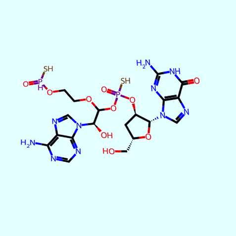 Nc1nc2c(ncn2[C@@H]2O[C@H](CO)C[C@H]2OP(=O)(S)OC(OCCO[PH](=O)S)[C@@H](O)n2cnc3c(N)ncnc32)c(=O)[nH]1